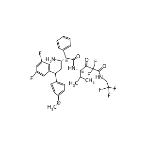 COc1ccc(C(CC(N)[C@@H](C(=O)N[C@H](C(=O)C(F)(F)C(=O)NCC(F)(F)F)C(C)C)c2ccccc2)c2cc(F)cc(F)c2)cc1